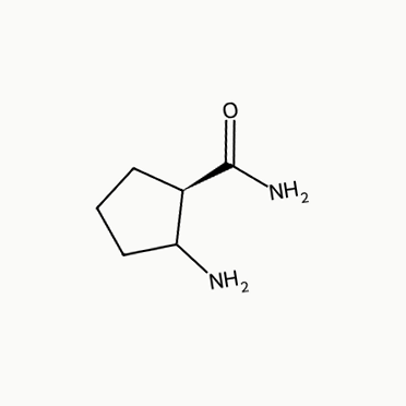 NC(=O)[C@@H]1CCCC1N